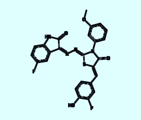 COc1cccc(N2C(=O)C(=Cc3ccc(O)c(F)c3)SC2=NN=C2C(=O)Nc3ccc(F)cc32)c1